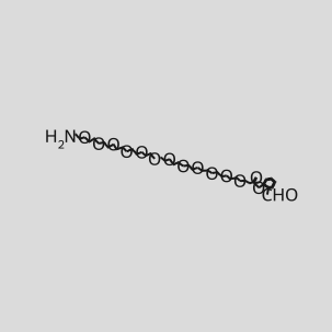 NCCOCCOCCOCCOCCOCCOCCOCCOCCOCCOCCOCCOCCC(=O)Oc1ccccc1C=O